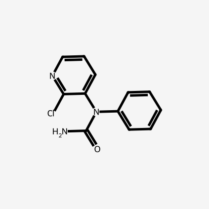 NC(=O)N(c1ccccc1)c1cccnc1Cl